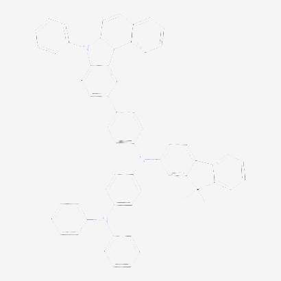 CC1(C)c2ccccc2-c2ccc(N(c3ccc(-c4ccc5c(c4)c4c6ccccc6ccc4n5-c4ccccc4)cc3)c3ccc(N(c4ccccc4)c4ccccc4)cc3)cc21